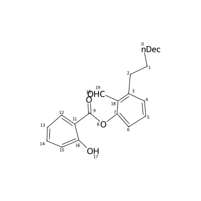 CCCCCCCCCCCCc1cccc(OC(=O)c2ccccc2O)c1C=O